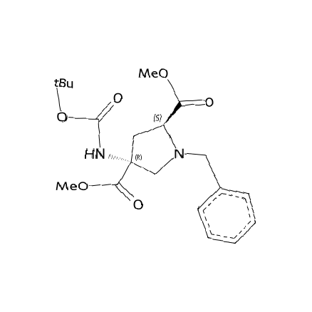 COC(=O)[C@@H]1C[C@](NC(=O)OC(C)(C)C)(C(=O)OC)CN1Cc1ccccc1